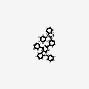 c1ccc(-c2nc(-c3cccc(-c4nc5ccccc5n4-c4ccccc4)c3)nc3c2c2ccccc2n3-c2ccccc2)cc1